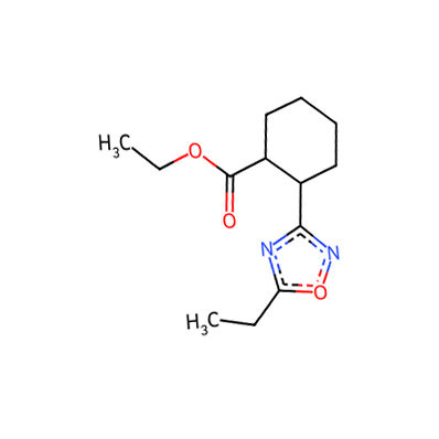 CCOC(=O)C1CCCCC1c1noc(CC)n1